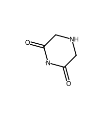 O=C1CNCC(=O)[N]1